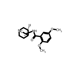 COc1ccc(OC)c(C(=O)N[C@@H]2CN3CCC2CC3)c1